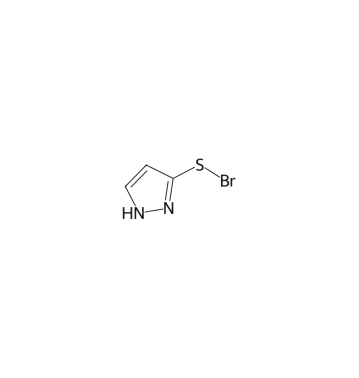 BrSc1cc[nH]n1